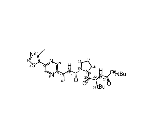 Cc1ncsc1-c1cnc(C(C)NC(=O)[C@@H]2CCCN2C(=O)[C@@H](NC(=O)OC(C)(C)C)C(C)(C)C)cn1